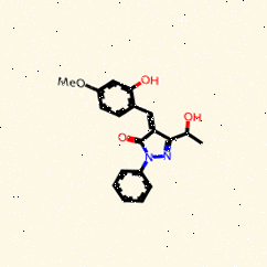 COc1ccc(/C=C2\C(=O)N(c3ccccc3)N=C2C(C)O)c(O)c1